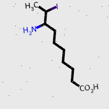 CC(I)C(N)CCCCCCC(=O)O